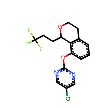 FC(F)(F)CCC1OCCc2cccc(Oc3ncc(Cl)cn3)c21